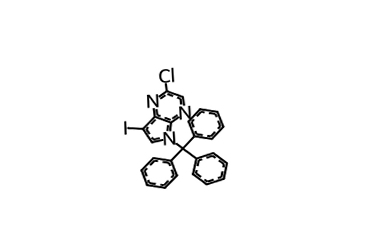 Clc1cnc2c(n1)c(I)cn2C(c1ccccc1)(c1ccccc1)c1ccccc1